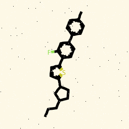 CCCC1CCC(c2ccc(-c3ccc(-c4ccc(C)cc4)cc3F)s2)C1